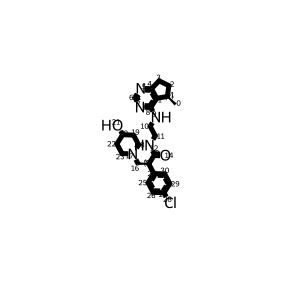 C[C@@H]1CCc2ncnc(NCCNC(=O)[C@H](CN3CCC(O)CC3)c3ccc(Cl)cc3)c21